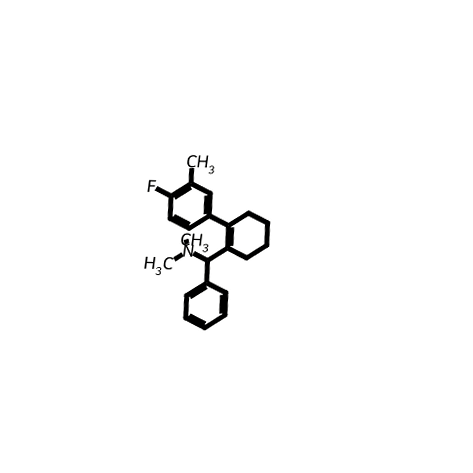 Cc1cc(C2=C(C(c3ccccc3)N(C)C)CCCC2)ccc1F